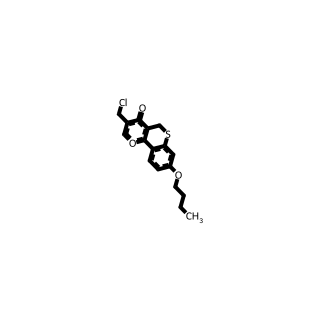 CCCCOc1ccc2c(c1)SCc1c-2occ(CCl)c1=O